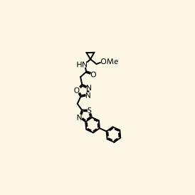 COCC1(NC(=O)Cc2nnc(Cc3nc4ccc(-c5ccccc5)cc4s3)o2)CC1